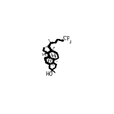 C[C@H](CCCC(F)(F)F)[C@H]1CC[C@H]2[C@@H]3CC=C4C[C@@](C)(O)CC[C@]4(C)[C@H]3CC[C@]12C